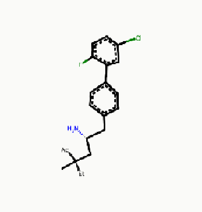 CC[C@](C)(C[C@H](N)Cc1ccc(-c2cc(Cl)ccc2F)cc1)C(C)=O